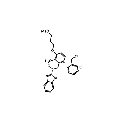 COCCCOc1ccnc(C[S+]([O-])c2nc3ccccc3[nH]2)c1C.Cl.ClCc1ccccn1